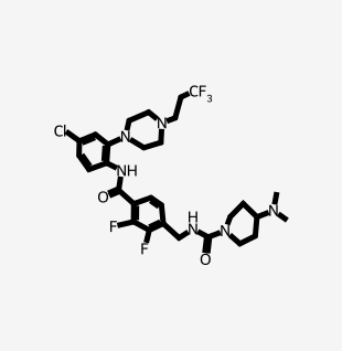 CN(C)C1CCN(C(=O)NCc2ccc(C(=O)Nc3ccc(Cl)cc3N3CCN(CCC(F)(F)F)CC3)c(F)c2F)CC1